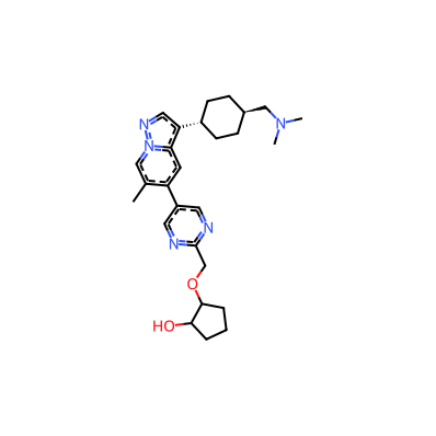 Cc1cn2ncc([C@H]3CC[C@H](CN(C)C)CC3)c2cc1-c1cnc(COC2CCCC2O)nc1